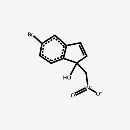 O=[N+]([O-])CC1(O)C=Cc2cc(Br)ccc21